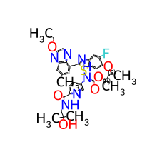 CCOc1cnc2c(-c3nc4cc(F)c(O[C@@H](C)[C@@H](C)OC(=O)Nc5ccc(C(=O)NCC(C)(C)O)nc5)cc4s3)cc(C)cc2n1